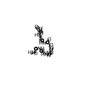 CCNC(=O)c1cccc(Nc2ccc(/C=N/Nc3ncc(F)c(N4CCOC(CC(=O)c5cc(Cl)cc(Nc6ccc(/C=N/Nc7ncc(F)c(N8CCOCC8)n7)nc6)c5)C4)n3)nc2)c1